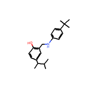 CC(C)C(C)c1ccc(O)c(CNc2ccc(C(C)(C)C)cc2)c1